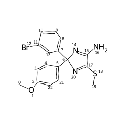 COc1ccc(C2(c3cccc(Br)c3)N=C(N)C(SC)=N2)cc1